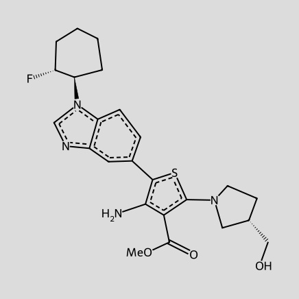 COC(=O)c1c(N2CC[C@H](CO)C2)sc(-c2ccc3c(c2)ncn3[C@@H]2CCCC[C@H]2F)c1N